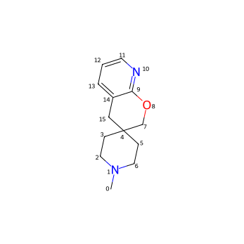 CN1CCC2(CC1)COc1ncccc1C2